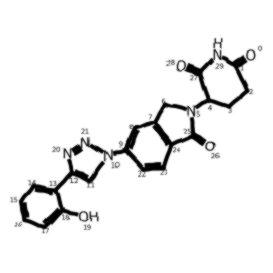 O=C1CCC(N2Cc3cc(-n4cc(-c5ccccc5O)nn4)ccc3C2=O)C(=O)N1